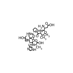 CC(C)[C@H](NC(=O)[C@@H](N)CC(=O)O)C(=O)N1CCC[C@H]1C(=O)N[C@@H](CC(=O)O)C(=O)N[C@@H](Cc1c[nH]cn1)C(=O)N[C@@H](C)C(=O)O